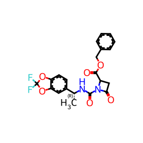 C[C@@H](NC(=O)N1C(=O)CC1C(=O)OCc1ccccc1)c1ccc2c(c1)OC(F)(F)O2